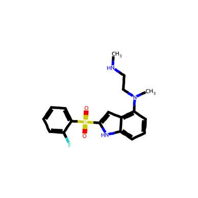 CNCCN(C)c1cccc2[nH]c(S(=O)(=O)c3ccccc3F)cc12